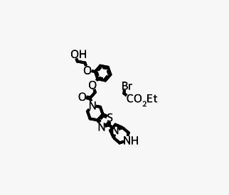 CCOC(=O)CBr.O=C(COc1ccccc1OCCO)N1CCc2nc(N3C4CCC3CNC4)sc2C1